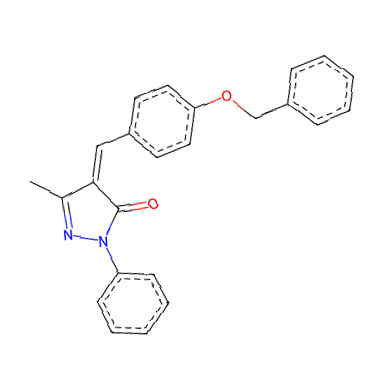 CC1=NN(c2ccccc2)C(=O)C1=Cc1ccc(OCc2ccccc2)cc1